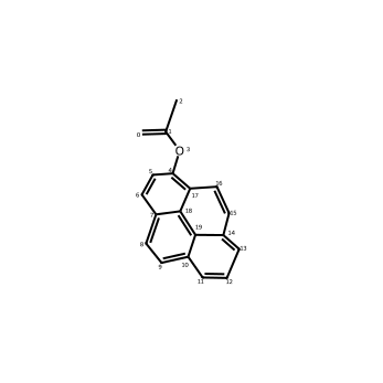 C=C(C)Oc1ccc2ccc3cccc4ccc1c2c34